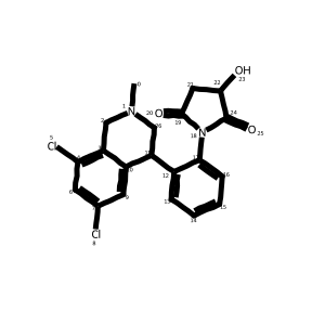 CN1Cc2c(Cl)cc(Cl)cc2C(c2ccccc2N2C(=O)CC(O)C2=O)C1